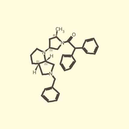 C[C@@H]1C[C@H](N2CCC[C@H]3CN(Cc4ccccc4)C[C@H]32)CN1C(=O)C(c1ccccc1)c1ccccc1